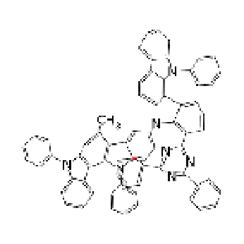 Cc1cc2c(c3ccccc3n2-c2ccccc2)c2c1c1cc(-n3c4ccc5c6ccccc6n(-c6ccccc6)c5c4c4cccc(-c5nc(-c6ccccc6)nc(-c6ccccc6)n5)c43)ccc1n2-c1ccccc1